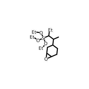 CCO[Si](OCC)(OCC)C(CC)C(C)C1CCC2OC2C1